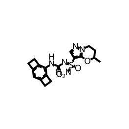 CC1CCn2ncc(S(N)(=O)=NC(=O)Nc3c4c(cc5c3CC5)CC4)c2O1